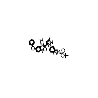 Cc1cc(C(=O)Nc2cc(Oc3ccccc3)ccc2F)n(-c2cccc(CNC(=O)OC(C)(C)C)c2)n1